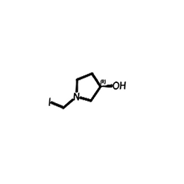 O[C@@H]1CCN(CI)C1